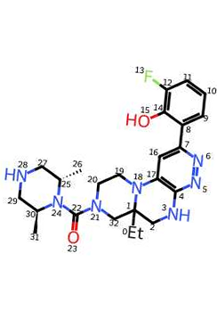 CCC12CNc3nnc(-c4cccc(F)c4O)cc3N1CCN(C(=O)N1[C@@H](C)CNC[C@@H]1C)C2